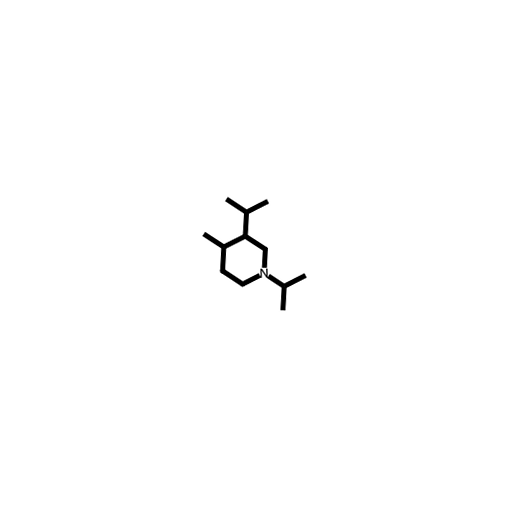 CC(C)C1CN(C(C)C)CCC1C